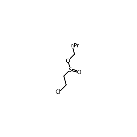 CCCCOS(=O)CCCl